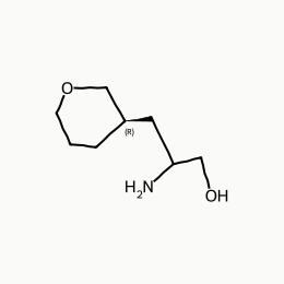 NC(CO)C[C@H]1CCCOC1